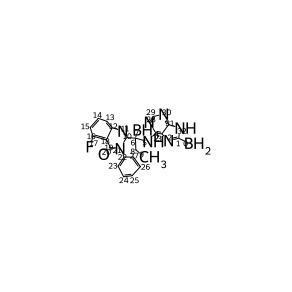 Bc1nc2c(N[C@@](B)(CC)c3nc4cccc(F)c4c(=O)n3-c3ccccc3)ncnc2[nH]1